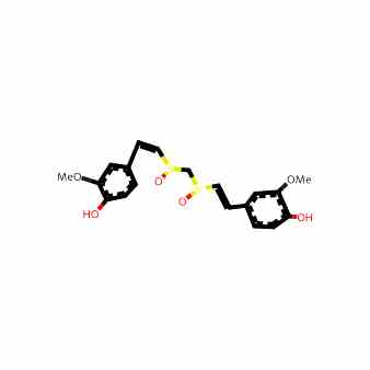 COc1cc(/C=C\[S+]([O-])C[S+]([O-])/C=C/c2ccc(O)c(OC)c2)ccc1O